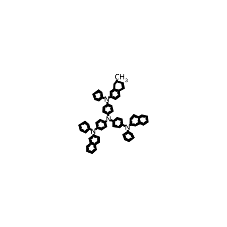 CC1C=Cc2ccc(N(c3ccccc3)c3ccc(N(c4ccc(N(c5ccccc5)c5ccc6ccccc6c5)cc4)c4ccc(N(c5ccccc5)c5ccc6ccccc6c5)cc4)cc3)cc2C1